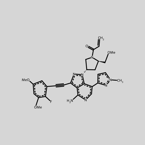 C=CC(=O)N1C[C@@H](n2nc(C#Cc3cc(OC)cc(OC)c3F)c3c(N)ncc(-c4ccn(C)n4)c32)C[C@@H]1COC